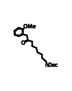 CCCCCCCCCCCCCCCCCC(=O)Cc1ccccc1OC